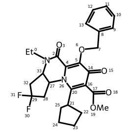 CCN1C(=O)c2c(OCc3ccccc3)c(=O)c(C(=O)OC)c(C3CCCC3)n2C2CC(F)(F)CC21